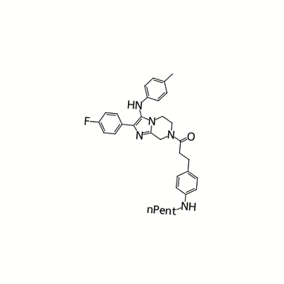 CCCCCNc1ccc(CCC(=O)N2CCn3c(nc(-c4ccc(F)cc4)c3Nc3ccc(C)cc3)C2)cc1